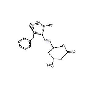 CC(C)n1nnc(-c2ccccc2)c1/C=C/C1CC(O)CC(=O)O1